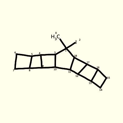 CC1(I)C2C3C4CCC4C3C2C2C3C4CCC4C3C21